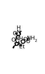 C#Cc1cc(C(=O)NCc2c(C)cc(C)[nH]c2=O)c(C)c(N(CC)C2CCC(OC(N)=O)CC2)c1